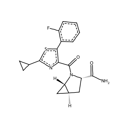 NC(=O)[C@@H]1C[C@H]2C[C@@H]2N1C(=O)c1nc(C2CC2)sc1-c1ccccc1F